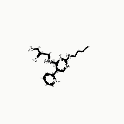 CCCCNc1ncc(-c2ccccn2)c(NCC(=O)CO)n1